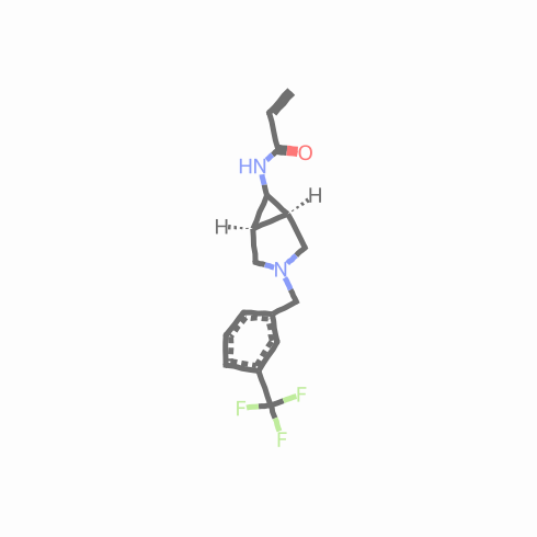 C=CC(=O)NC1[C@H]2CN(Cc3cccc(C(F)(F)F)c3)C[C@@H]12